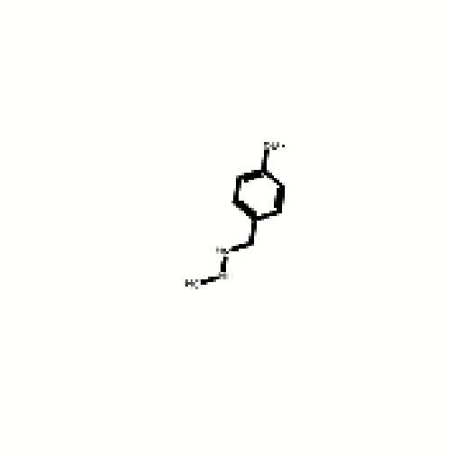 COc1ccc(CNNC#N)cc1